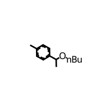 CCCCOC(C)c1ccc(C)cc1